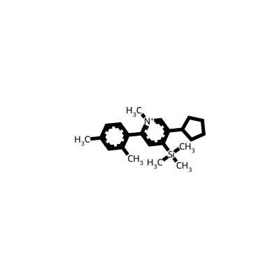 Cc1ccc(-c2cc([Si](C)(C)C)c(C3CCCC3)c[n+]2C)c(C)c1